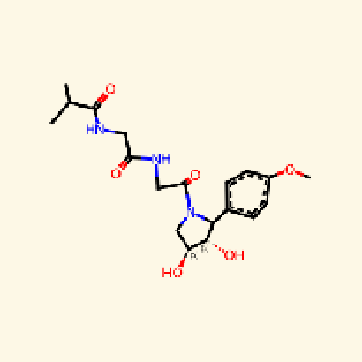 COc1ccc(C2[C@H](O)[C@@H](O)CN2C(=O)CNC(=O)CNC(=O)C(C)C)cc1